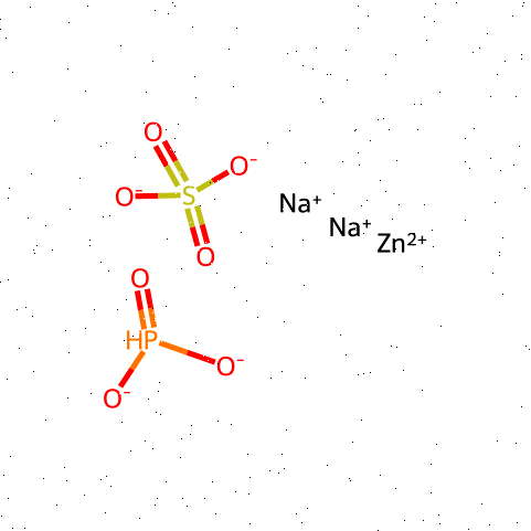 O=S(=O)([O-])[O-].O=[PH]([O-])[O-].[Na+].[Na+].[Zn+2]